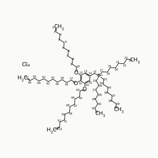 C=CCCCCCCCCCOc1cc(C[P+](CCCCCCCC)(CCCCCCCC)CCCCCCCC)cc(OCCCCCCCCCC=C)c1OCCCCCCCCCC=C.[Cl-]